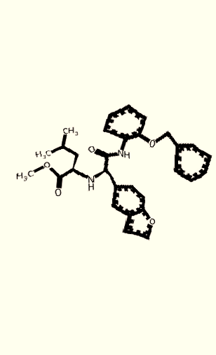 COC(=O)[C@@H](CC(C)C)N[C@@H](C(=O)Nc1ccccc1OCc1ccccc1)c1ccc2occc2c1